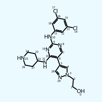 OCCn1cc(-c2cnc(Nc3cc(Cl)cc(Cl)c3)nc2NC2CCNCC2)cn1